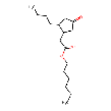 CCCCCCOC(=O)CC1CC(=O)CC1CCCC